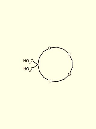 O=C(O)C1(C(=O)O)CCOCCOCCOCCOCC1